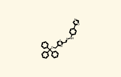 C(=NNc1ccc(-c2cnco2)cc1)c1nc(COC(c2ccccc2)(c2ccccc2)c2ccccc2)cs1